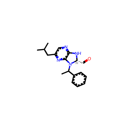 CC(C)Cc1cnc2c(n1)N(C(C)c1ccccc1)[C@@H](C=O)N2